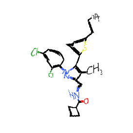 CCC/C=C/c1ccc(-c2c(C)c(CNC(=O)C3CCC3)nn2-c2ccc(Cl)cc2Cl)s1